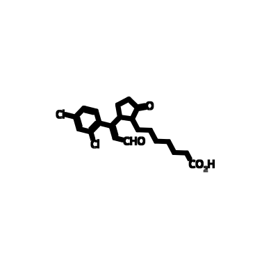 O=C/C=C(/c1ccc(Cl)cc1Cl)C1CCC(=O)C1CCCCCCC(=O)O